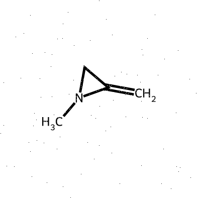 C=C1CN1C